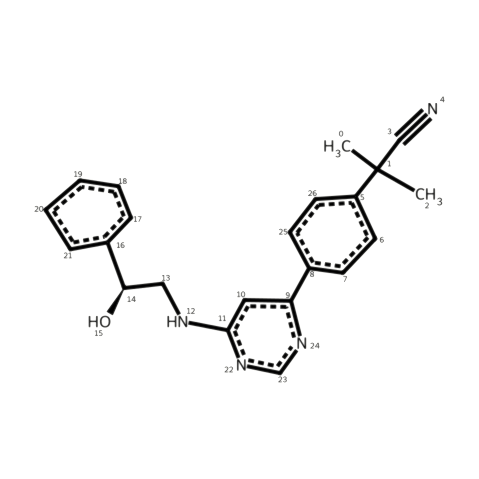 CC(C)(C#N)c1ccc(-c2cc(NC[C@@H](O)c3ccccc3)ncn2)cc1